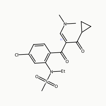 CCN(c1cc(Cl)ccc1C(=O)/C(=C/N(C)C)C(=O)C1CC1)S(C)(=O)=O